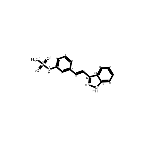 CS(=O)(=O)Nc1cccc(C=Cc2n[nH]c3ccccc23)c1